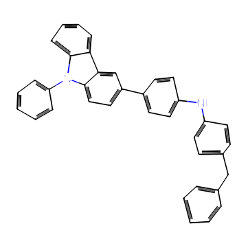 c1ccc(Cc2ccc(Nc3ccc(-c4ccc5c(c4)c4ccccc4n5-c4ccccc4)cc3)cc2)cc1